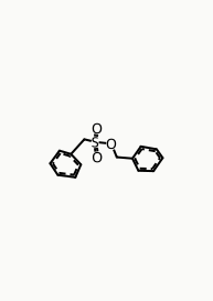 O=S(=O)(Cc1ccccc1)OCc1ccccc1